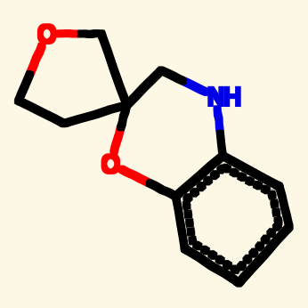 c1ccc2c(c1)NCC1(CCOC1)O2